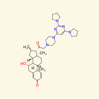 C[C@@H]1C[C@H]2[C@@H]3C(O)CC4=CC(=O)C=C[C@]4(C)[C@H]3CC[C@]2(C)[C@H]1C(=O)CN1CCN(c2cc(N3CCCC3)nc(N3CCCC3)n2)CC1